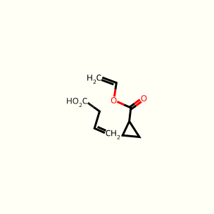 C=CCC(=O)O.C=COC(=O)C1CC1